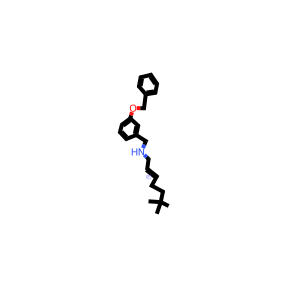 CC(C)(C)CC/C=C/CNCc1cccc(OCc2ccccc2)c1